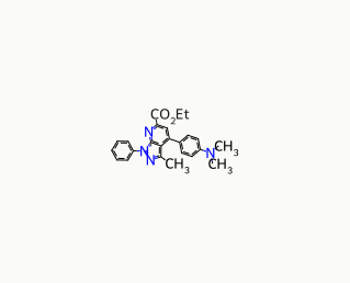 CCOC(=O)c1cc(-c2ccc(N(C)C)cc2)c2c(C)nn(-c3ccccc3)c2n1